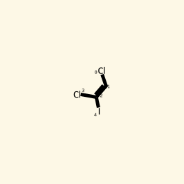 Cl/[C]=C(\Cl)I